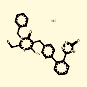 CCCCc1nc(CF)n(Cc2ccccc2)c(=O)c1Cc1ccc(-c2ccccc2-c2noc(=O)[nH]2)cc1.Cl